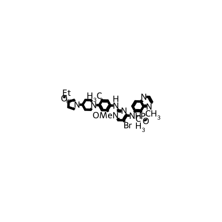 CCO[C@H]1CCN(C2CCN(c3cc(OC)c(Nc4ncc(Br)c(Nc5ccc6nccnc6c5P(C)(C)=O)n4)cc3C)CC2)C1